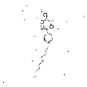 CCCCCCCCCCc1ccc(C(=O)OC(C)C(=O)OCC)cc1